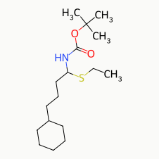 CCSC(CCCC1CCCCC1)NC(=O)OC(C)(C)C